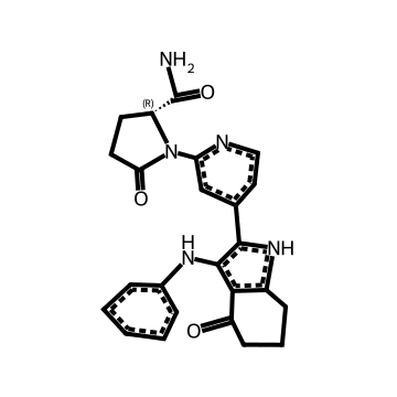 NC(=O)[C@H]1CCC(=O)N1c1cc(-c2[nH]c3c(c2Nc2ccccc2)C(=O)CCC3)ccn1